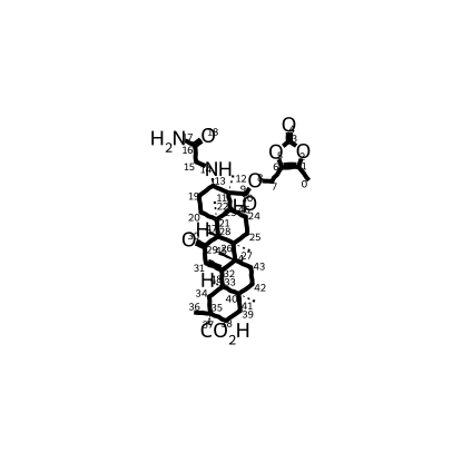 Cc1oc(=O)oc1COC(=O)[C@]1(C)[C@@H](NCC(N)=O)CC[C@@]2(C)[C@H]1CC[C@]1(C)[C@@H]2C(=O)C=C2[C@@H]3C[C@@](C)(C(=O)O)CC[C@]3(C)CC[C@]21C